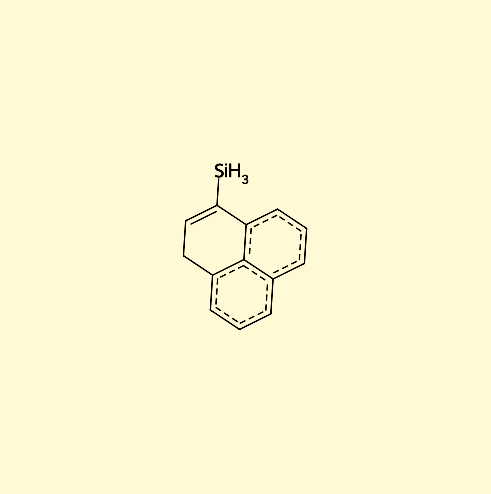 [SiH3]C1=CCc2cccc3cccc1c23